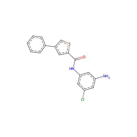 Nc1cc(Cl)cc(NC(=O)c2cc(-c3ccccc3)cs2)c1